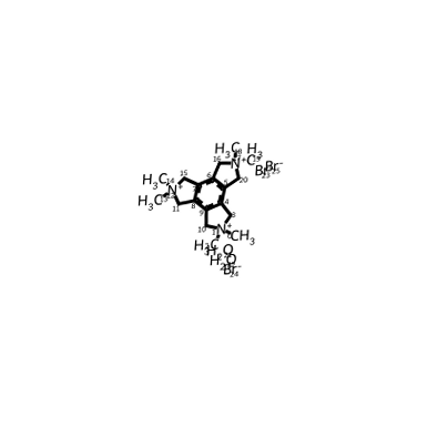 C[N+]1(C)Cc2c3c(c4c(c2C1)C[N+](C)(C)C4)C[N+](C)(C)C3.O.O.[Br-].[Br-].[Br-]